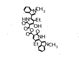 CCc1cc(C(=O)OC(=O)c2c(O)c(CC)c(-c3cn(C)c4ccccc34)[nH]c2=O)c(=O)[nH]c1-c1cn(C)c2ccccc12